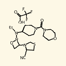 CCN(C1CCN(C(=O)N2CCOCC2)CC1)N1OCC1N1CSCC1C#N.O=C(O)C(F)(F)F